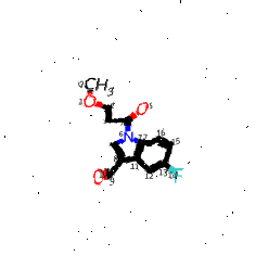 COCCC(=O)n1cc(C=O)c2cc(F)ccc21